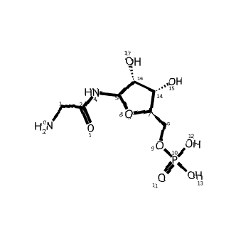 NCC(=O)NC1O[C@H](COP(=O)(O)O)[C@@H](O)[C@H]1O